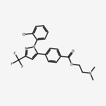 CN(C)CCOC(=O)c1ccc(-c2cc(C(F)(F)F)nn2-c2ccccc2Cl)cc1